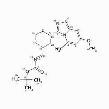 COc1cc(C)n2c([C@H]3CCCC(/C=N/C(=O)OC(C)(C)C)C3)nnc2c1